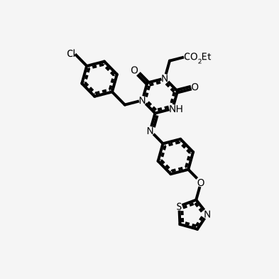 CCOC(=O)Cn1c(=O)[nH]/c(=N\c2ccc(Oc3nccs3)cc2)n(Cc2ccc(Cl)cc2)c1=O